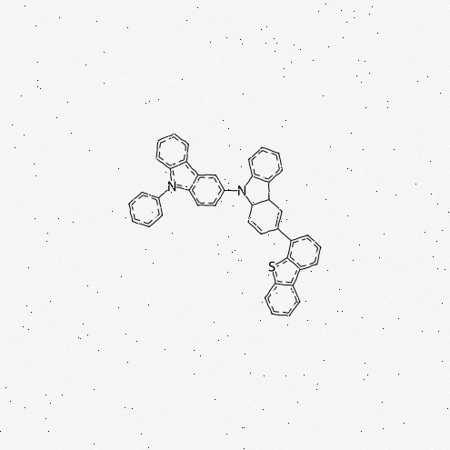 C1=CC2C(C=C1c1cccc3c1sc1ccccc13)c1ccccc1N2c1ccc2c(c1)c1ccccc1n2-c1ccccc1